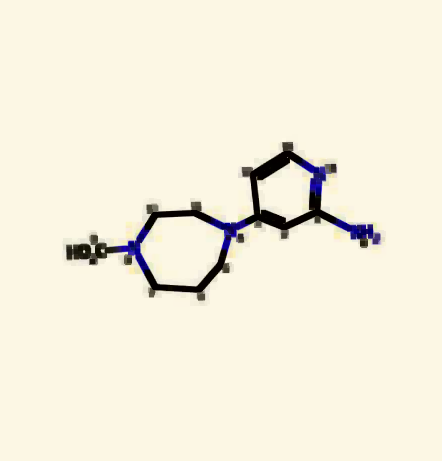 Nc1cc(N2CCCN(C(=O)O)CC2)ccn1